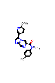 COc1ccc(-c2cnc3cnc(C(=O)N(C)c4ccc(C#N)cc4)cn23)cn1